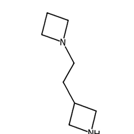 C1CN(CCC2CNC2)C1